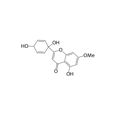 COc1cc(O)c2c(=O)cc(C3(O)C=CC(O)C=C3)oc2c1